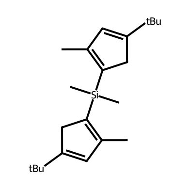 CC1=C([Si](C)(C)C2=C(C)C=C(C(C)(C)C)C2)CC(C(C)(C)C)=C1